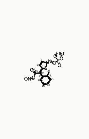 CCOP(=O)(OCC)ON=C1C=CC(=C(C(=O)ON=O)c2ccccc2C)S1